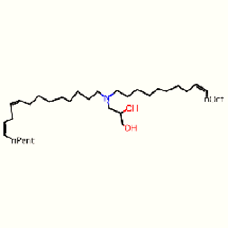 CCCCC/C=C\C/C=C\CCCCCCCCN(CCCCCCCC/C=C\CCCCCCCC)CC(O)CO